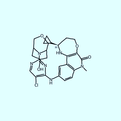 Cn1c(=O)c2c(c3cc(Nc4nc(N5C6COCC5CC(O)C6)ncc4Cl)ccc31)N[C@@H](C1CC1)CCO2